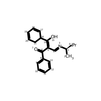 CC(C)[C@@H](C)/N=C/C(C(=O)c1ccccc1)=C(\O)C1C=CC=CC1